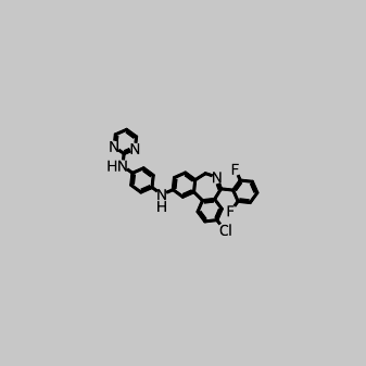 Fc1cccc(F)c1C1=NCc2ccc(Nc3ccc(Nc4ncccn4)cc3)cc2-c2ccc(Cl)cc21